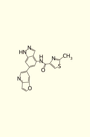 Cc1nc(C(=O)Nc2cc(-c3cnc4ccoc4c3)cc3[nH]ncc23)cs1